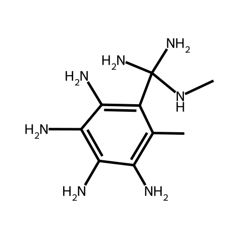 CNC(N)(N)c1c(C)c(N)c(N)c(N)c1N